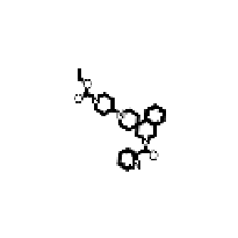 CCOC(=O)N1CCC(N2CCC3(CC2)CN(C(=O)c2ccccn2)Cc2ccccc23)CC1